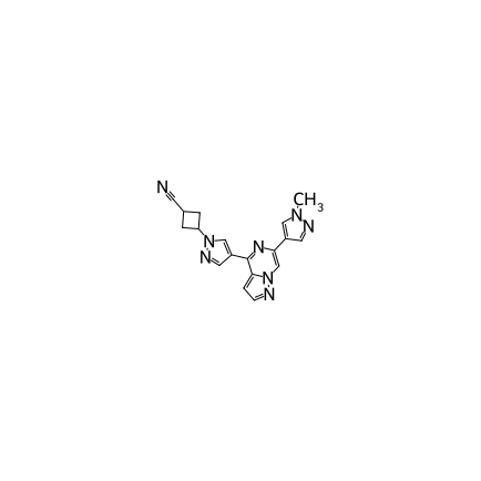 Cn1cc(-c2cn3nccc3c(-c3cnn(C4CC(C#N)C4)c3)n2)cn1